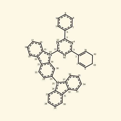 C1=CC(c2nc(-c3ccccc3)nc(-n3c4ccccc4c4ccc(-n5c6ccccc6c6ccccc65)cc43)n2)=CCC1